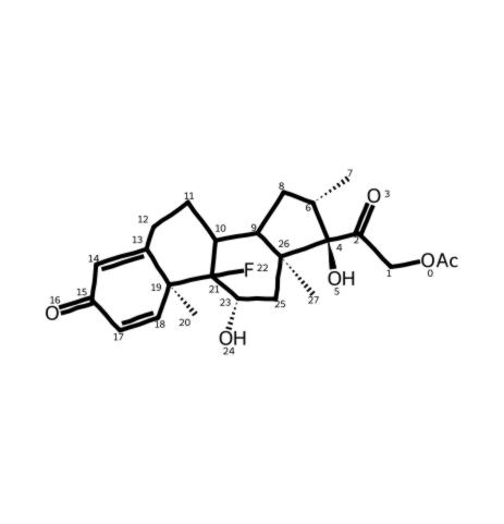 CC(=O)OCC(=O)[C@@]1(O)[C@@H](C)CC2C3CCC4=CC(=O)C=C[C@]4(C)C3(F)[C@@H](O)C[C@@]21C